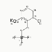 F[B-](F)(F)CCc1c(Cl)cccc1Cl.[K+]